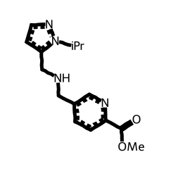 COC(=O)c1ccc(CNCc2ccnn2C(C)C)cn1